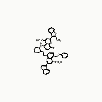 CCc1ccc(NC2CCCCC2CCc2ccc(COc3ccccc3)c3c(C(=O)O)cc(-c4csc5ccccc45)nc23)c2c(C(=O)O)cc(-c3c(C)oc4ccccc34)nc12